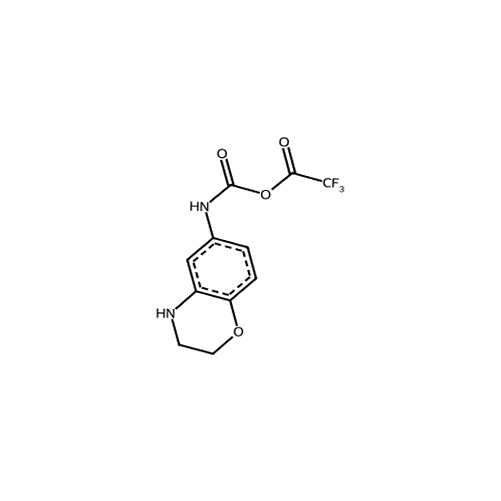 O=C(Nc1ccc2c(c1)NCCO2)OC(=O)C(F)(F)F